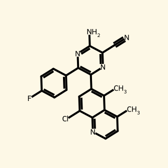 Cc1ccnc2c(Cl)cc(-c3nc(C#N)c(N)nc3-c3ccc(F)cc3)c(C)c12